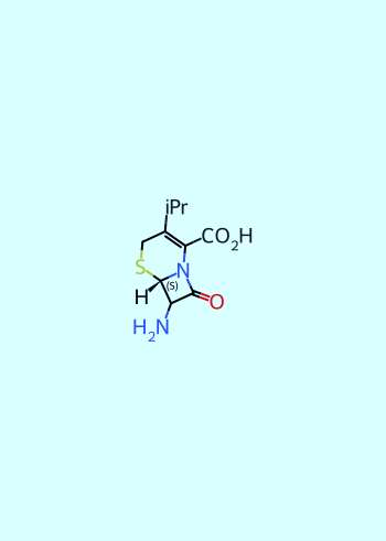 CC(C)C1=C(C(=O)O)N2C(=O)C(N)[C@@H]2SC1